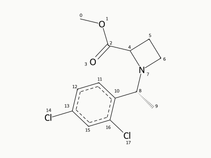 COC(=O)C1CCN1[C@H](C)c1ccc(Cl)cc1Cl